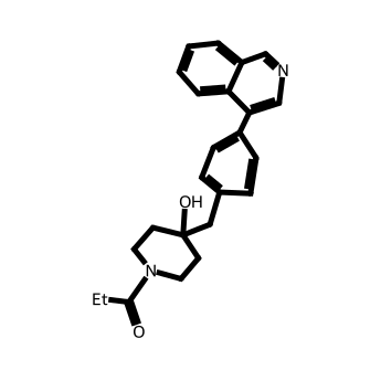 CCC(=O)N1CCC(O)(Cc2ccc(-c3cncc4ccccc34)cc2)CC1